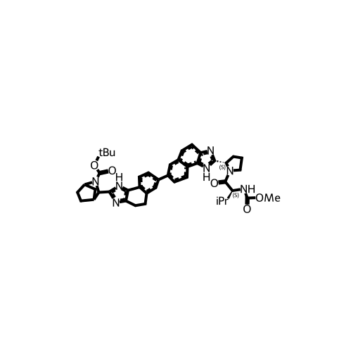 COC(=O)N[C@H](C(=O)N1CCC[C@H]1c1nc2ccc3cc(-c4ccc5c(c4)CCc4nc(C6C7CCC(C7)N6C(=O)OC(C)(C)C)[nH]c4-5)ccc3c2[nH]1)C(C)C